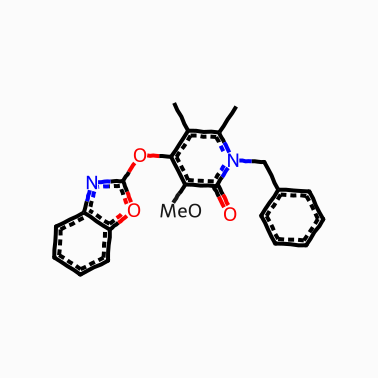 COc1c(Oc2nc3ccccc3o2)c(C)c(C)n(Cc2ccccc2)c1=O